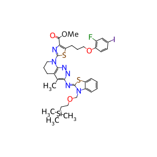 COC(=O)c1nc(N2CCCc3c2nnc(/N=c2\sc4ccccc4n2COCC[Si](C)(C)C)c3C)sc1CCCOc1ccc(I)cc1F